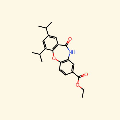 CCOC(=O)c1ccc2c(c1)NC(=O)c1cc(C(C)C)cc(C(C)C)c1O2